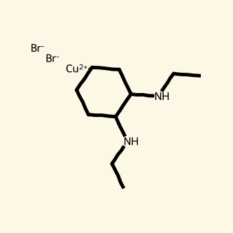 CCNC1CCCCC1NCC.[Br-].[Br-].[Cu+2]